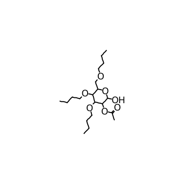 CCCCOCC1OC(O)C(OC(C)=O)C(OCCCC)C1OCCCC